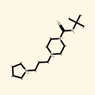 CC(C)(C)OC(=O)N1CCN(CCCN2CCCC2)CC1